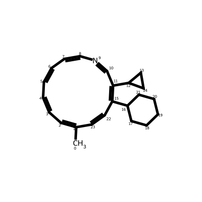 Cc1cccccccncc(C2CC2)c(C2CCCCC2)cc1